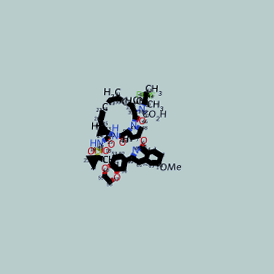 COc1ccc2c(O[C@@H]3C[C@H]4C(=O)N[C@]5(C(=O)NS(=O)(=O)C6(C)CC6)C[C@H]5/C=C\CC[C@H](C)C[C@@H](C)[C@H](N(C(=O)O)C(C)(C)C(C)(F)F)C(=O)N4C3)nc(-c3ccc4c(c3)OCCO4)cc2c1